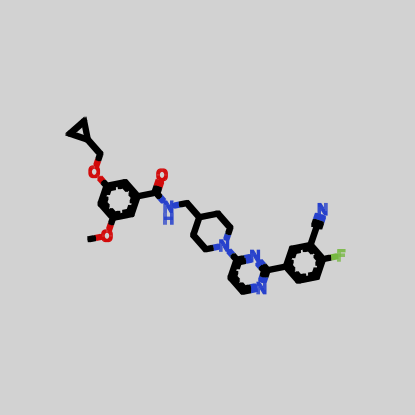 COc1cc(OCC2CC2)cc(C(=O)NCC2CCN(c3ccnc(-c4ccc(F)c(C#N)c4)n3)CC2)c1